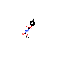 CCCOC(=O)N=NC(=O)Oc1ccc(C)cc1